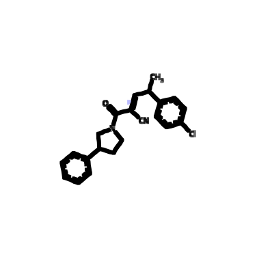 CC(/C=C(\C#N)C(=O)N1CCC(c2ccccc2)C1)c1ccc(Cl)cc1